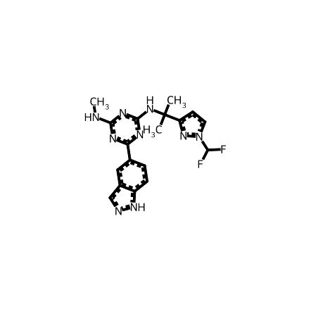 CNc1nc(NC(C)(C)c2ccn(C(F)F)n2)nc(-c2ccc3[nH]ncc3c2)n1